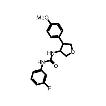 COc1ccc(C2COCC2NC(=O)Nc2cccc(F)c2)cc1